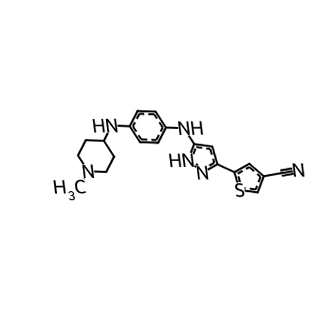 CN1CCC(Nc2ccc(Nc3cc(-c4cc(C#N)cs4)n[nH]3)cc2)CC1